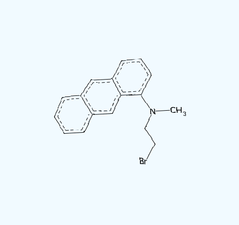 CN(CCBr)c1cccc2cc3ccccc3cc12